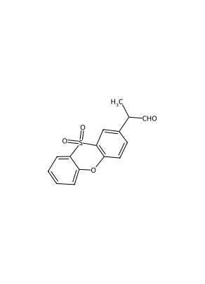 CC(C=O)c1ccc2c(c1)S(=O)(=O)c1ccccc1O2